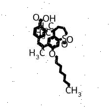 CCCCCCCCOc1cc2c(cc1/C(C)=C\c1ccc(C(=O)O)cc1)C(C)(C)CCCS2(=O)=O